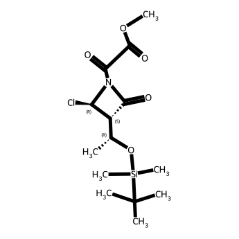 COC(=O)C(=O)N1C(=O)[C@H]([C@@H](C)O[Si](C)(C)C(C)(C)C)[C@H]1Cl